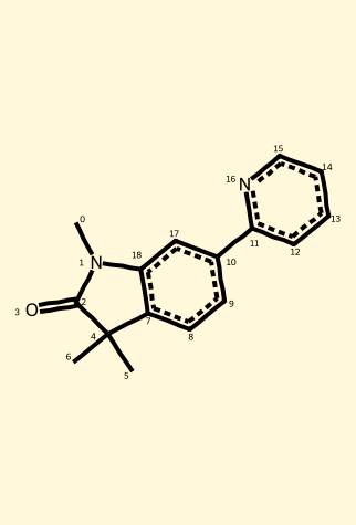 CN1C(=O)C(C)(C)c2ccc(-c3ccccn3)cc21